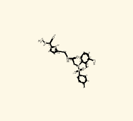 Cc1ccc(S(=O)(=O)N(CC(=O)NCc2ccc(C(=O)ON)s2)c2cccc(Cl)c2C)cc1